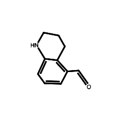 O=Cc1cccc2c1CCCN2